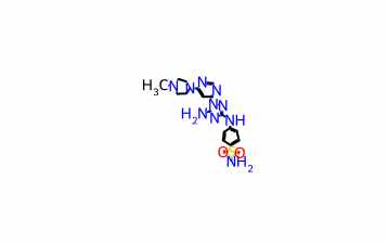 CN1CCN(c2cc(-n3nc(Nc4ccc(S(N)(=O)=O)cc4)nc3N)ncn2)CC1